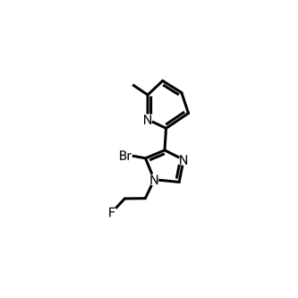 Cc1cccc(-c2ncn(CCF)c2Br)n1